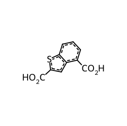 O=C(O)c1cc2c(C(=O)O)cccc2s1